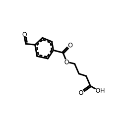 O=Cc1ccc(C(=O)OCCCC(=O)O)cc1